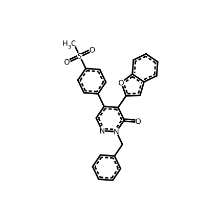 CS(=O)(=O)c1ccc(-c2cnn(Cc3ccccc3)c(=O)c2-c2cc3ccccc3o2)cc1